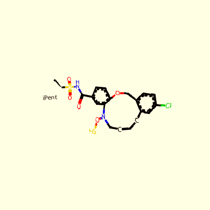 CCC[C@H](C)[C@@H](C)S(=O)(=O)NC(=O)c1ccc2c(c1)N(OS)CCCCc1cc(Cl)ccc1CO2